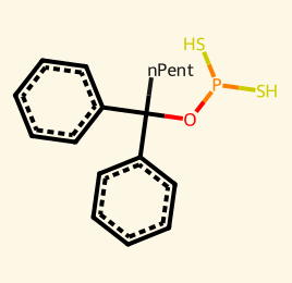 CCCCCC(OP(S)S)(c1ccccc1)c1ccccc1